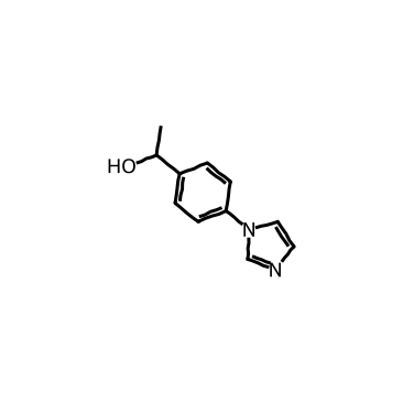 CC(O)c1ccc(-n2ccnc2)cc1